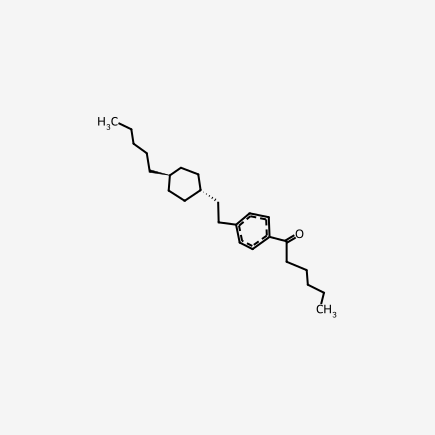 CCCCCC(=O)c1ccc(CC[C@H]2CC[C@H](CCCCC)CC2)cc1